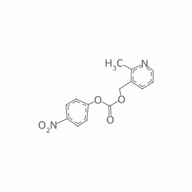 Cc1ncccc1COC(=O)Oc1ccc([N+](=O)[O-])cc1